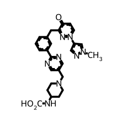 Cn1cc(-n2ccc(=O)c(Cc3cccc(-c4ncc(CN5CCC(NC(=O)O)CC5)cn4)c3)n2)cn1